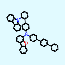 c1ccc(-c2ccc(-c3ccc(N(c4ccc(-c5ccccc5-n5c6ccccc6c6ccccc65)cc4)c4cccc5c4oc4ccccc45)cc3)cc2)cc1